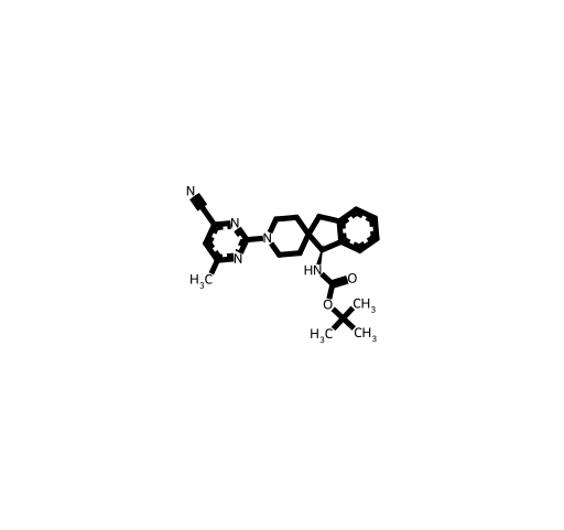 Cc1cc(C#N)nc(N2CCC3(CC2)Cc2ccccc2[C@H]3NC(=O)OC(C)(C)C)n1